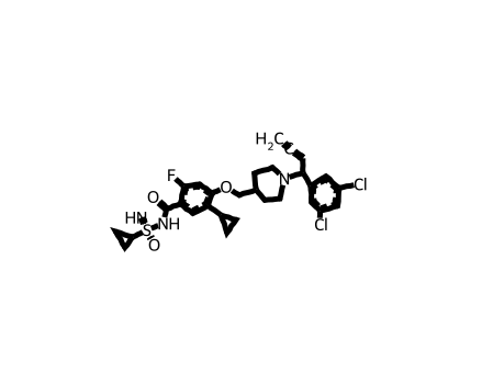 C=C=CC(c1cc(Cl)cc(Cl)c1)N1CCC(COc2cc(F)c(C(=O)NS(=N)(=O)C3CC3)cc2C2CC2)CC1